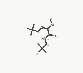 CNC(SCC(C)(C)I)C(=O)NCC(C)(C)I